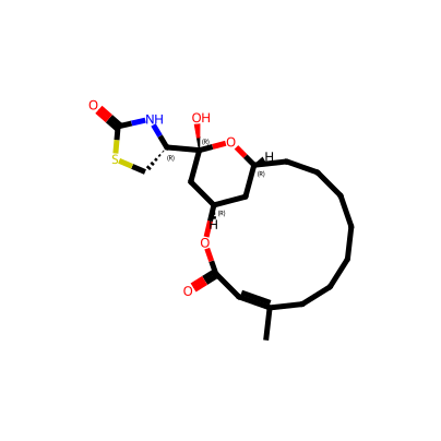 CC1=CC(=O)O[C@@H]2C[C@@H](CCCCCCC1)O[C@@](O)([C@@H]1CSC(=O)N1)C2